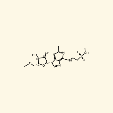 CNS(=O)(=O)CCNc1nc(C)nc2c1ncn2[C@@H]1O[C@H](COC)[C@@H](O)[C@H]1O